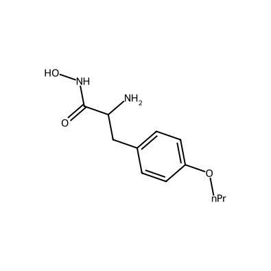 CCCOc1ccc(CC(N)C(=O)NO)cc1